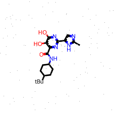 Cc1ncc(-c2nc(O)c(O)c(C(=O)NC3CCC(C(C)(C)C)CC3)n2)[nH]1